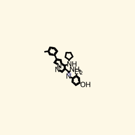 CCc1cc(O)ccc1/N=C(\N)c1cnn2cc(-c3cccc(C)c3)cc2c1NC1CCCC1